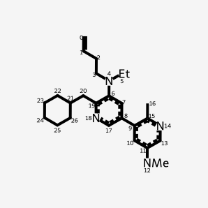 C=CCCN(CC)c1cc(-c2cc(NC)cnc2C)cnc1CC1CCCCC1